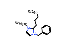 CCCCCCCCCCCCCC1N(CCCCCCC)C=CN1Cc1ccccc1